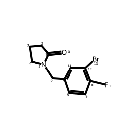 O=C1CCCN1Cc1ccc(F)c(Br)c1